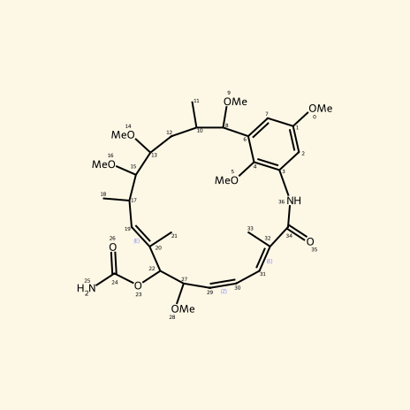 COc1cc2c(OC)c(c1)C(OC)C(C)CC(OC)C(OC)C(C)/C=C(\C)C(OC(N)=O)C(OC)/C=C\C=C(/C)C(=O)N2